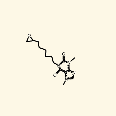 Cn1cnc2c1c(=O)n(CCCCCCC1CO1)c(=O)n2C